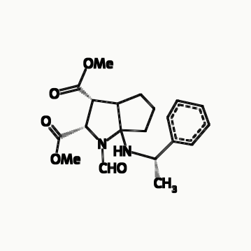 COC(=O)[C@@H]1C2CCCC2(N[C@@H](C)c2ccccc2)N(C=O)[C@@H]1C(=O)OC